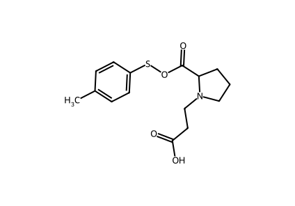 Cc1ccc(SOC(=O)C2CCCN2CCC(=O)O)cc1